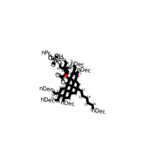 CCCCCCCCCCCCCCCC(CCCCCCCCCCCCCC)(CCCCCCCCCCCCCCC)C(CCCCCCCCCCCCCC)(CCCCCCCCCCCCCCC)C(CCCCCCCCCCCCCC)(CCCCCCCCCCCCCCC)OC(=O)CC(COP(=O)(O)OCCC)C(C)C